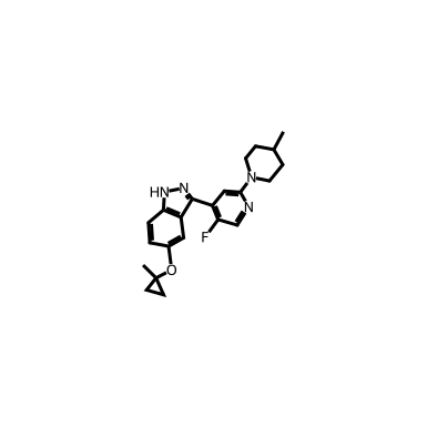 CC1CCN(c2cc(-c3n[nH]c4ccc(OC5(C)CC5)cc34)c(F)cn2)CC1